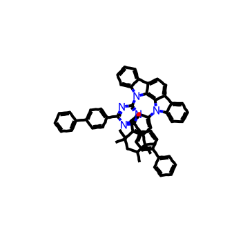 CC1CC(C)(C)c2ccc(-n3c4ccccc4c4ccc5c6ccccc6n(-c6nc(-c7ccc(-c8ccccc8)cc7)nc(-c7ccc(-c8ccccc8)cc7)n6)c5c43)cc2C1(C)C